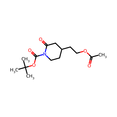 CC(=O)OCCC1CCN(C(=O)OC(C)(C)C)C(=O)C1